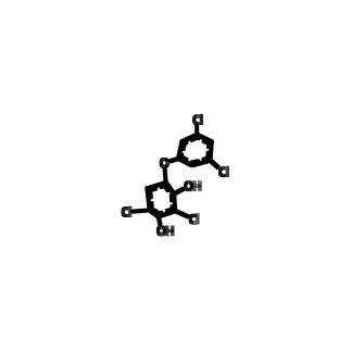 Oc1c(Cl)cc(Oc2cc(Cl)cc(Cl)c2)c(O)c1Cl